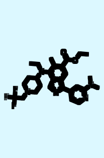 CCOC(=O)c1cc2c(-c3ccnc(N(C)C)c3)ncn2c(N(CC)C2CCN(CC(F)(F)F)CC2)c1C